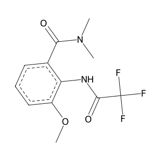 COc1cccc(C(=O)N(C)C)c1NC(=O)C(F)(F)F